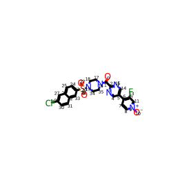 O=C(c1ncc(-c2cc[n+]([O-])cc2F)cn1)N1CCN(S(=O)(=O)c2ccc3cc(Cl)ccc3c2)CC1